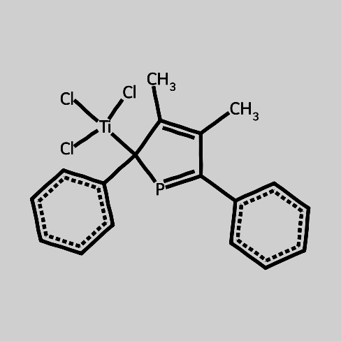 CC1=C(C)[C](c2ccccc2)([Ti]([Cl])([Cl])[Cl])P=C1c1ccccc1